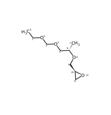 CCOCOC[C@H](C)OC[C@@H]1CO1